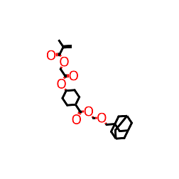 C=C(C)C(=O)OCC(=O)OC1CCC(C(=O)OCOCC23CC4CC(CC(C4)C2)C3)CC1